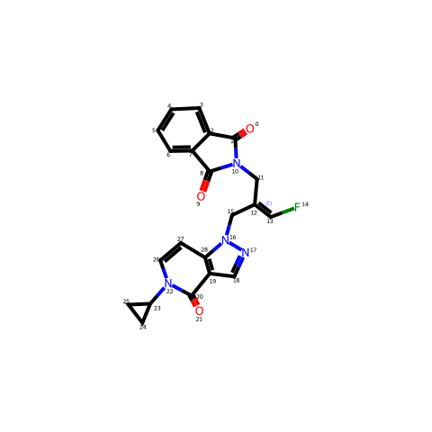 O=C1c2ccccc2C(=O)N1C/C(=C\F)Cn1ncc2c(=O)n(C3CC3)ccc21